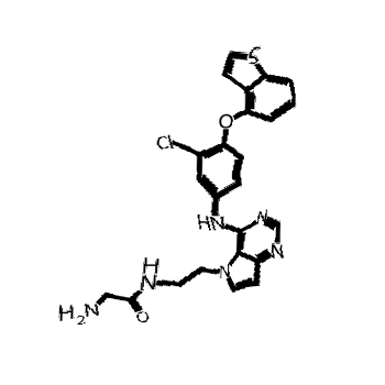 NCC(=O)NCCn1ccc2ncnc(Nc3ccc(Oc4cccc5sccc45)c(Cl)c3)c21